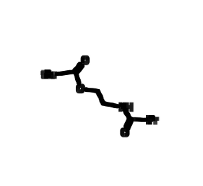 CC(C)C(=O)NCCOC(=O)C(C)(C)C